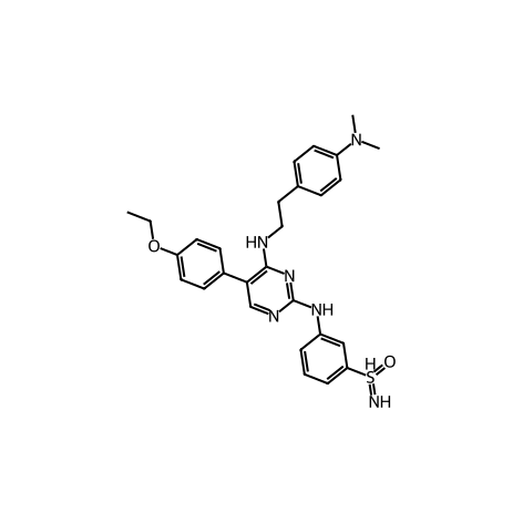 CCOc1ccc(-c2cnc(Nc3cccc([SH](=N)=O)c3)nc2NCCc2ccc(N(C)C)cc2)cc1